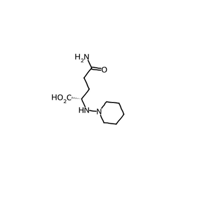 NC(=O)CC[C@H](NN1CCCCC1)C(=O)O